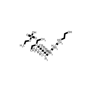 C=C.C=C.C=C.C=C.C=C.C=C.C=C.CCOCC.CCOS(=O)(=O)O.OCCO